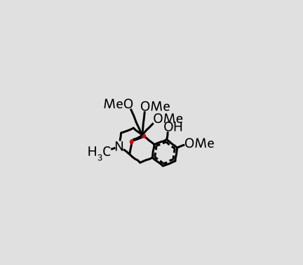 COc1ccc2c(c1O)C13CCN(C)C(C2)C1CCC(OC)(OC)C3OC